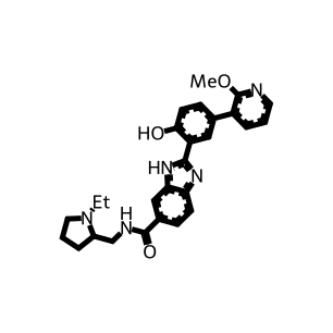 CCN1CCCC1CNC(=O)c1ccc2nc(-c3cc(-c4cccnc4OC)ccc3O)[nH]c2c1